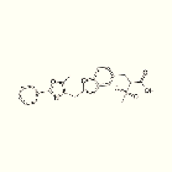 Cc1oc(-c2ccccc2)nc1Cc1cc2cc(CC(C(=O)O)S(C)(=O)=O)ccc2o1